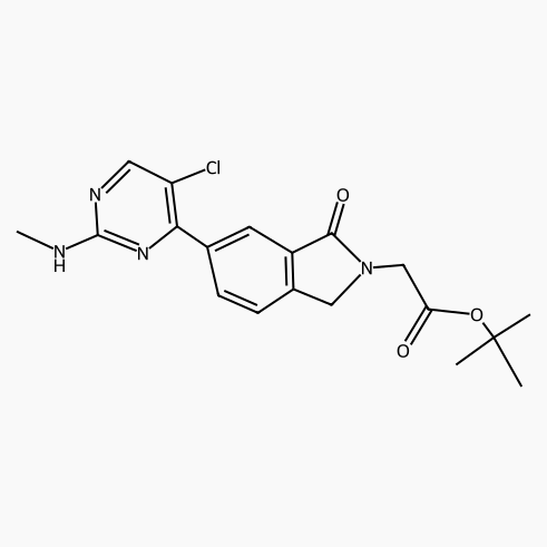 CNc1ncc(Cl)c(-c2ccc3c(c2)C(=O)N(CC(=O)OC(C)(C)C)C3)n1